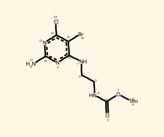 CC(C)(C)OC(=O)NCCNc1nc(N)nc(Cl)c1Br